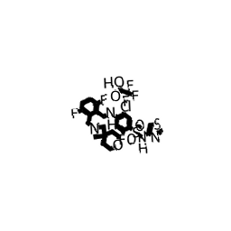 O=C(O)C(F)(F)F.O=S(=O)(Nc1cscn1)c1cc(Cl)c(NCc2c(F)ccc(F)c2CN2CC3(CCOCC3)C2)cc1F